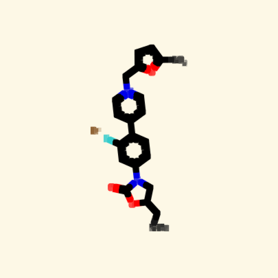 CC(=O)NCC1CN(c2ccc(-c3cc[n+](Cc4ccc([N+](=O)[O-])o4)cc3)c(F)c2)C(=O)O1.[Br-]